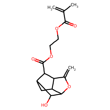 C=C(C)C(=O)OCCOC(=O)C1C2CC3C(OC(=C)C31)C2O